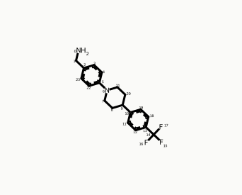 NCc1ccc(N2CCC(c3ccc(C(F)(F)F)cc3)CC2)cc1